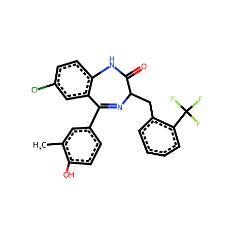 Cc1cc(C2=NC(Cc3ccccc3C(F)(F)F)C(=O)Nc3ccc(Cl)cc32)ccc1O